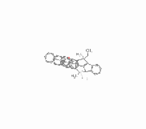 CC[Si]1(C)C2=C(c3ccc(-c4ccccc4)cc3)[CH](c3ccccc32)[Hf]([CH3])([CH3])[CH]2C(c3ccc(-c4ccccc4)cc3)=C1c1ccccc12